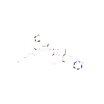 CCCCCNC(=O)NC(C(=O)N[C@]1(OC)C(=O)N2C(C(=O)O)=C(CSc3ccc[n+]([O-])n3)CSC21)c1cccs1